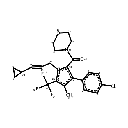 Cc1c(-c2ccc(Cl)cc2)c(C(=O)N2CCOCC2)n(CC#CC2CC2)c1C(F)(F)F